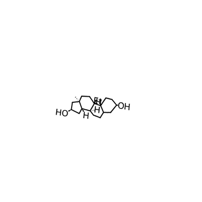 CC[C@]12CC[C@]3(C)C[C@H](O)C[C@H]3[C@@H]1CCC1CC(O)CC[C@@H]12